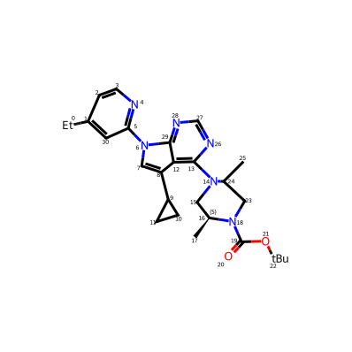 CCc1ccnc(-n2cc(C3CC3)c3c(N4C[C@H](C)N(C(=O)OC(C)(C)C)CC4C)ncnc32)c1